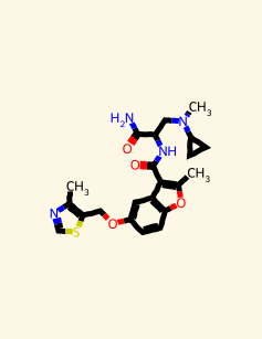 Cc1ncsc1COc1ccc2oc(C)c(C(=O)NC(CN(C)C3CC3)C(N)=O)c2c1